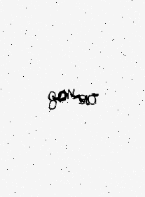 CCO[Si](C)(C)CCCN=C1C=CC(C(=O)OC)=CC1